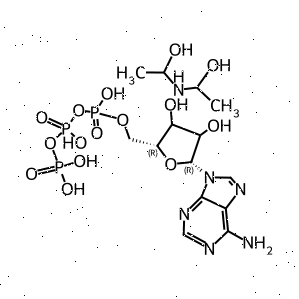 CC(O)NC(C)O.Nc1ncnc2c1ncn2[C@@H]1O[C@H](COP(=O)(O)OP(=O)(O)OP(=O)(O)O)C(O)C1O